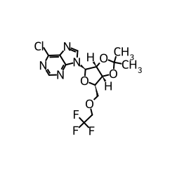 CC1(C)O[C@@H]2[C@H](O1)[C@@H](COCC(F)(F)F)O[C@H]2n1cnc2c(Cl)ncnc21